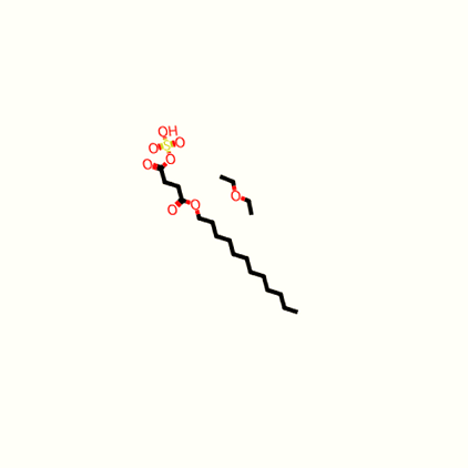 CCCCCCCCCCCCOC(=O)CCC(=O)OS(=O)(=O)O.CCOCC